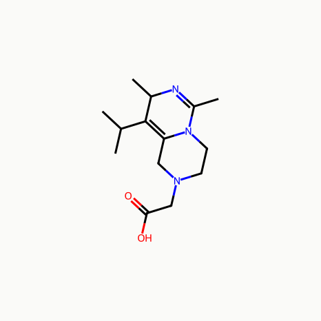 CC1=NC(C)C(C(C)C)=C2CN(CC(=O)O)CCN12